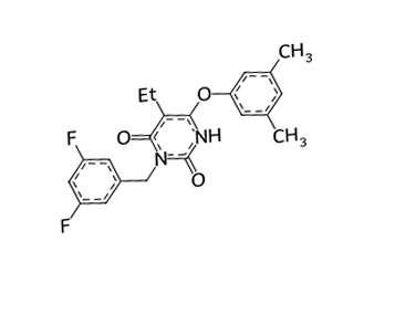 CCc1c(Oc2cc(C)cc(C)c2)[nH]c(=O)n(Cc2cc(F)cc(F)c2)c1=O